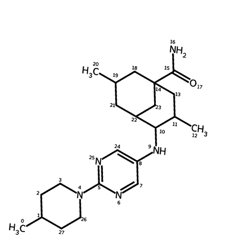 CC1CCN(c2ncc(NC3C(C)CC4(C(N)=O)CC(C)CC3C4)cn2)CC1